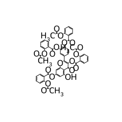 CC(=O)Oc1ccccc1C(=O)Oc1cc(O)c2c(=O)c(OC(=O)c3ccccc3OC(C)=O)c(-c3ccc(OC(=O)c4ccccc4OC(C)=O)c(OC(=O)c4ccccc4OC(C)=O)c3)oc2c1